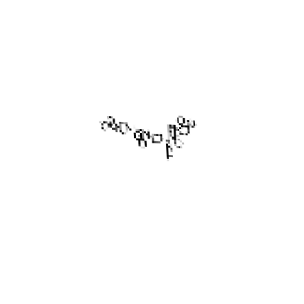 CCOC(=O)CN1CCN(CC2CN(c3ccc(C(=N)NC(=O)c4ccc(OC)c(OC)c4OC)cc3)C(=O)O2)CC1